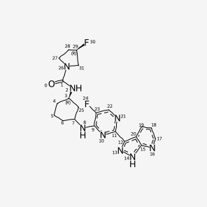 O=C(N[C@@H]1CCCC(Nc2nc(-c3n[nH]c4ncccc34)ncc2F)C1)N1CC[C@@H](F)C1